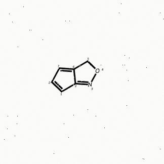 C1=CC2=NOCC2=C1